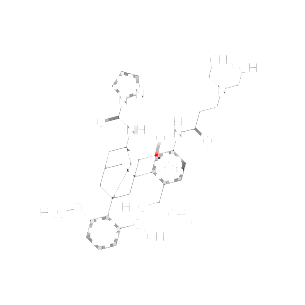 CCN(CC)CCC(=O)Nc1ccc(C(C)C)c(C23CC4CC(c5c(OC)cccc5OC)(CC(NC(=O)n5cccn5)(C4)C2C(=O)O)C3)c1